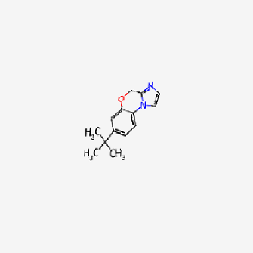 CC(C)(C)c1ccc2c(c1)OCc1nccn1-2